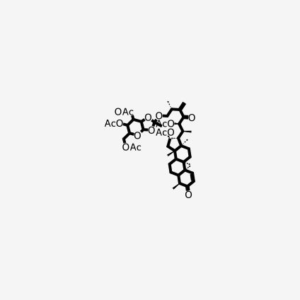 C=C(C(=O)[C@H](OC(C)=O)[C@@H](C)[C@H]1[C@@H](OC(C)=O)C[C@@]2(C)C3CCC4[C@H](C)C(=O)C=C[C@@]45C[C@@]35CC[C@]12C)[C@@H](C)COC1(C)OC2OC(COC(C)=O)C(OC(C)=O)C(OC(C)=O)C2O1